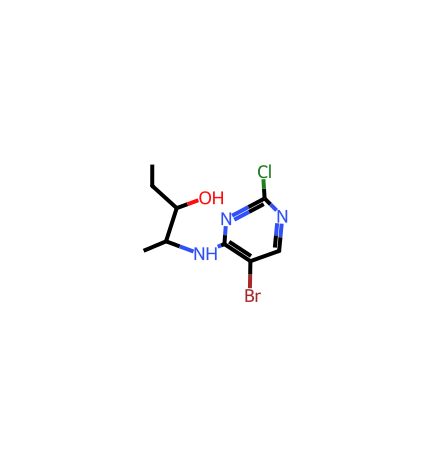 CCC(O)C(C)Nc1nc(Cl)ncc1Br